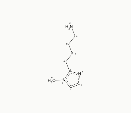 Cn1ccnc1CSCCN